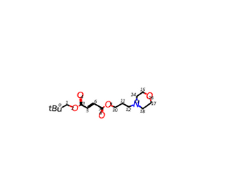 CC(C)(C)COC(=O)/C=C/C(=O)OCCCN1CCOCC1